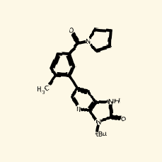 Cc1ccc(C(=O)N2CCCC2)cc1-c1cnc2c(c1)[nH]c(=O)n2C(C)(C)C